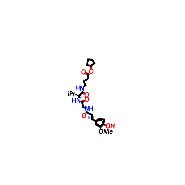 COc1cc(/C=C/C(=O)NCC(=O)N[C@H](C(=O)NCCCC(=O)OC2CCCC2)C(C)C)ccc1O